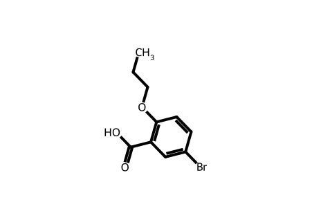 CCCOc1ccc(Br)cc1C(=O)O